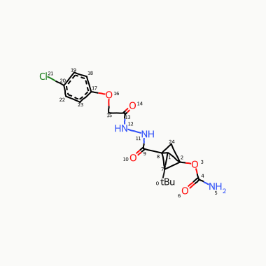 CC(C)(C)C1C2(OC(N)=O)CC1(C(=O)NNC(=O)COc1ccc(Cl)cc1)C2